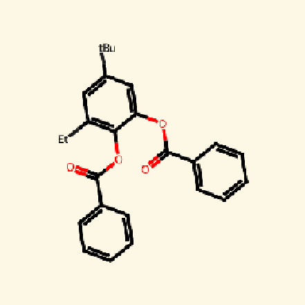 CCc1cc(C(C)(C)C)cc(OC(=O)c2ccccc2)c1OC(=O)c1ccccc1